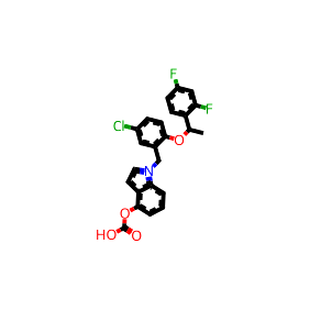 CC(Oc1ccc(Cl)cc1Cn1ccc2c(OC(=O)O)cccc21)c1ccc(F)cc1F